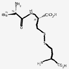 CC[C@H](C)[C@H](N)C(=O)N[C@@H](CSSCC(N)C(=O)O)C(=O)O